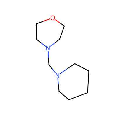 C1CCN(CN2CCOCC2)CC1